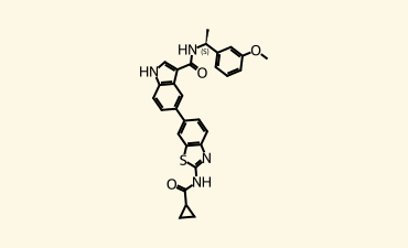 COc1cccc([C@H](C)NC(=O)c2c[nH]c3ccc(-c4ccc5nc(NC(=O)C6CC6)sc5c4)cc23)c1